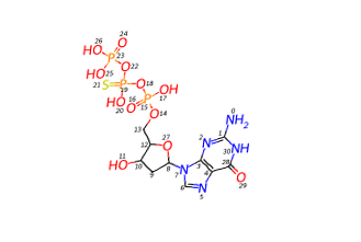 Nc1nc2c(ncn2C2CC(O)C(COP(=O)(O)OP(O)(=S)OP(=O)(O)O)O2)c(=O)[nH]1